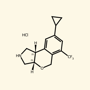 Cl.FC(F)(F)c1cc(C2CC2)cc2c1CO[C@@H]1CNC[C@H]21